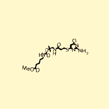 COC(=O)CCCCNC(=O)OC(C)(C)CNC(=O)CCSc1cc(Cl)nc(N)n1